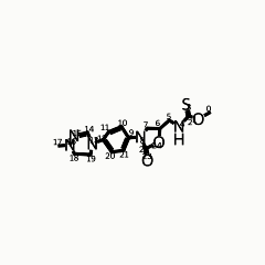 COC(=S)NCC1CN(c2ccc(N3C=NN(C)CC3)cc2)C(=O)O1